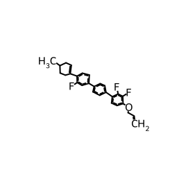 C=CCOc1ccc(-c2ccc(-c3ccc(C4=CCC(C)CC4)c(F)c3)cc2)c(F)c1F